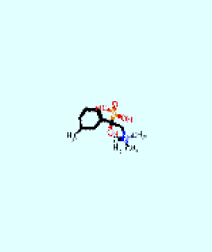 CC1CCCC(C(O)(C[N+](C)(C)C)P(=O)(O)O)C1